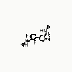 Fc1ccc(-c2ccc3ncnc(NC4CC4)c3c2)c(F)c1CNC1CC1